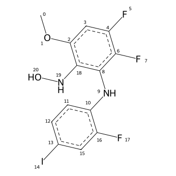 COc1cc(F)c(F)c(Nc2ccc(I)cc2F)c1NO